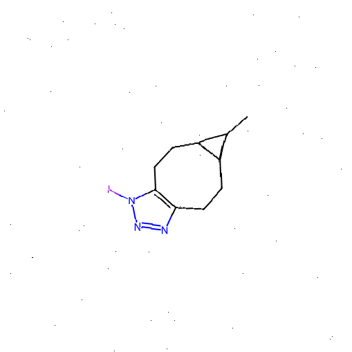 CC1C2CCc3nnn(I)c3CCC12